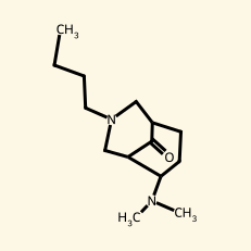 CCCCN1CC2CCC(N(C)C)C(C1)C2=O